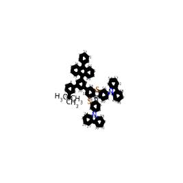 CC(C)(C)c1cccc(-c2cc(-c3cc4c5c(c3)Sc3cc(-n6c7ccccc7c7ccccc76)ccc3B5c3ccc(-n5c6ccccc6c6ccccc65)cc3S4)cc(-c3c4ccccc4c(-c4ccccc4)c4ccccc34)c2)c1